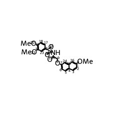 COc1ccc2ccc(OCC(=O)NS(=O)(=O)c3ccc(OC)c(OC)c3)cc2c1